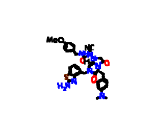 COc1ccc(CNC(=O)N(CC#N)N2CC(=O)N3[C@@H](Cc4ccc(N(C)C)cc4)C(=O)N(Cc4cccc5sc(N)nc45)C[C@@H]32)cc1